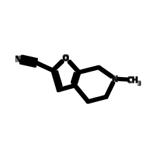 CN1CCc2cc(C#N)oc2C1